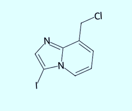 ClCc1cccn2c(I)cnc12